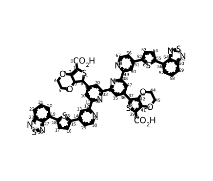 O=C(O)C1=C2OCCOC2C(c2cc(-c3cc(-c4ccc(-c5cccc6nsnc56)s4)ccn3)nc(-c3cc(-c4sc(C(=O)O)c5c4OCCO5)cc(-c4cc(-c5ccc(-c6cccc7nsnc67)s5)ccn4)n3)c2)S1